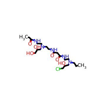 CCCN(CCNC(=O)CC(=O)NCCN(CCNC(=O)CC)CC(O)CO)CC(O)CCl